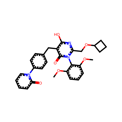 COc1cccc(OC)c1-n1c(COC2CCC2)nc(O)c(Cc2ccc(-n3ccccc3=O)cc2)c1=O